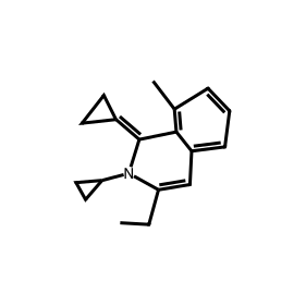 CCC1=Cc2cccc(C)c2C(=C2CC2)N1C1CC1